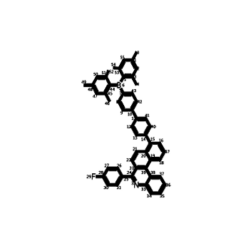 Cc1cc(C)c(B(c2ccc(-c3ccc(-c4cccc5c4ccc4c(-c6ccc(F)cc6)nc6ccccc6c45)cc3)cc2)c2c(C)cc(C)cc2C)c(C)c1